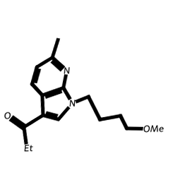 CCC(=O)c1cn(CCCCOC)c2nc(C)ccc12